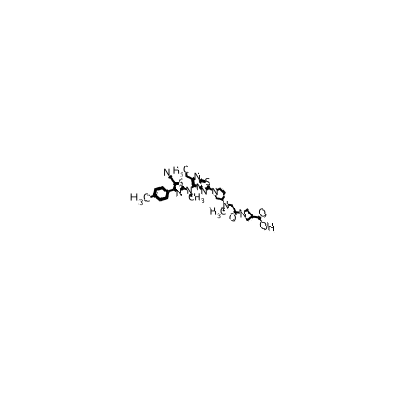 CCc1nc2sc(N3CC[C@@H](N(C)CC(=O)N4CC(C(=O)O)C4)C3)nn2c1N(C)c1nc(-c2ccc(C)cc2)c(C#N)s1